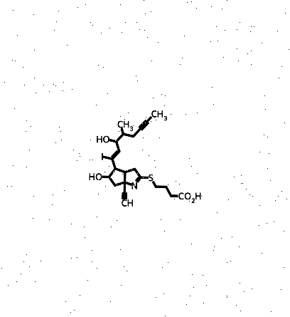 C#CC12CC(O)C(C(I)=CC(O)C(C)CC#CC)C1CC(SCCCC(=O)O)=N2